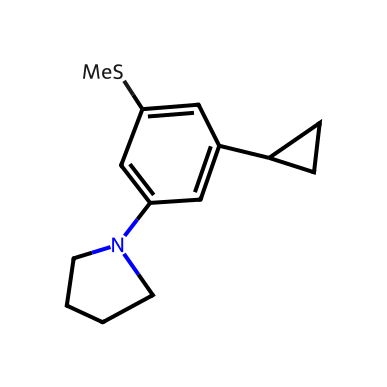 CSc1cc(C2CC2)cc(N2CCCC2)c1